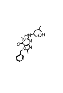 Cc1nc2nc(NC(CO)CC(C)C)n(C)c(=O)c2n1Cc1ccccc1